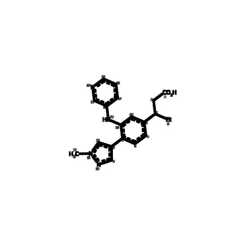 CCC(CC(=O)O)c1ccc(-c2cnn(C)c2)c(Nc2cccnc2)c1